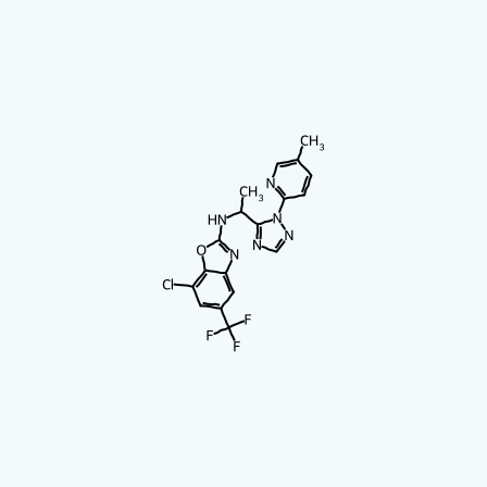 Cc1ccc(-n2ncnc2C(C)Nc2nc3cc(C(F)(F)F)cc(Cl)c3o2)nc1